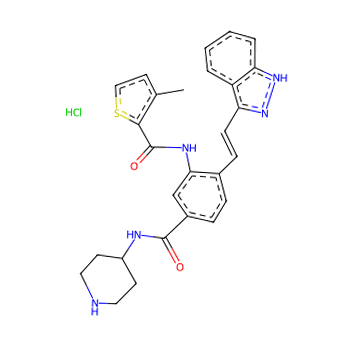 Cc1ccsc1C(=O)Nc1cc(C(=O)NC2CCNCC2)ccc1C=Cc1n[nH]c2ccccc12.Cl